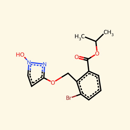 CC(C)OC(=O)c1cccc(Br)c1COc1ccn(O)n1